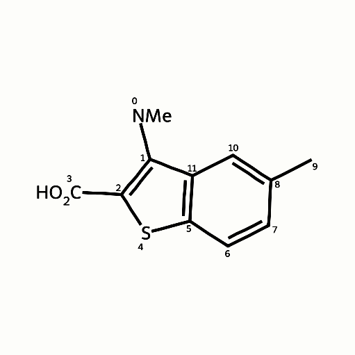 CNc1c(C(=O)O)sc2ccc(C)cc12